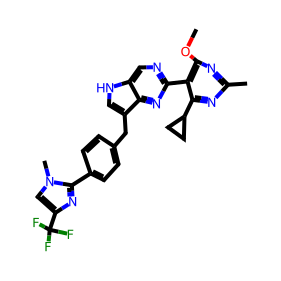 COc1nc(C)nc(C2CC2)c1-c1ncc2[nH]cc(Cc3ccc(-c4nc(C(F)(F)F)cn4C)cc3)c2n1